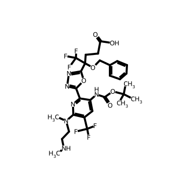 CNCCN(C)c1nc(-c2nnc(C(CCC(=O)O)(OCc3ccccc3)C(F)(F)F)o2)c(NC(=O)OC(C)(C)C)cc1C(F)(F)F